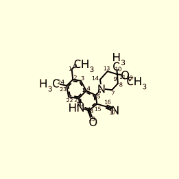 CCc1cc2c(N3CCC(C)(OC)CC3)c(C#N)c(=O)[nH]c2cc1C